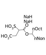 CCCCCCCCCC(CCCCCCCC)OC(=O)C(CC(=O)O)S(=O)(=O)O.[NaH].[NaH]